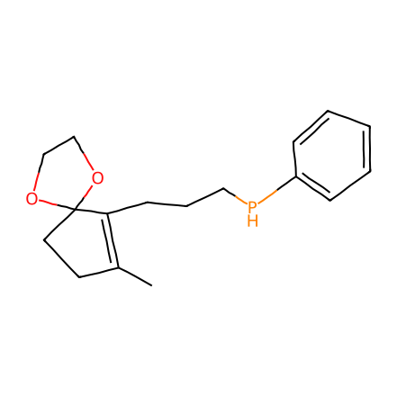 CC1=C(CCCPc2ccccc2)C2(CC1)OCCO2